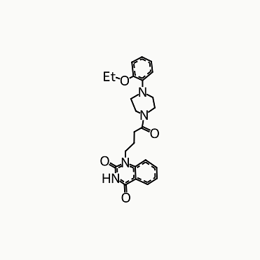 CCOc1ccccc1N1CCN(C(=O)CCCn2c(=O)[nH]c(=O)c3ccccc32)CC1